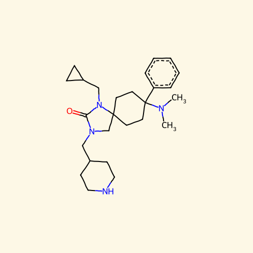 CN(C)C1(c2ccccc2)CCC2(CC1)CN(CC1CCNCC1)C(=O)N2CC1CC1